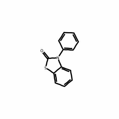 O=c1sc2ccccc2n1-c1ccccc1